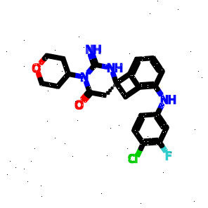 N=C1N[C@]2(CC(=O)N1C1CCOCC1)Cc1c(Nc3ccc(Cl)c(F)c3)cccc12